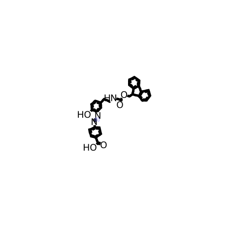 O=C(NCCc1ccc(O)c(/N=N/c2ccc(C(=O)O)cc2)c1)OCC1c2ccccc2-c2ccccc21